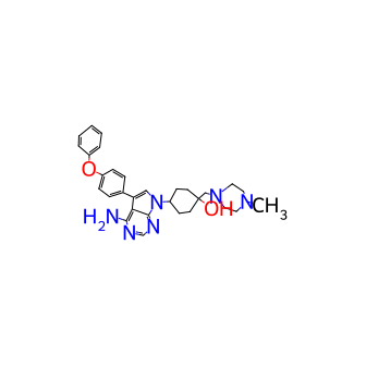 CN1CCN(CC2(O)CCC(n3cc(-c4ccc(Oc5ccccc5)cc4)c4c(N)ncnc43)CC2)CC1